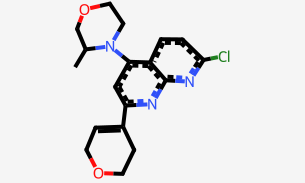 CC1COCCN1c1cc(C2=CCOCC2)nc2nc(Cl)ccc12